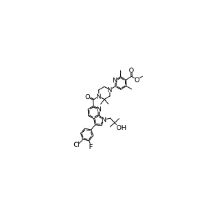 COC(=O)c1c(C)cc(N2CCN(C(=O)c3ccc4c(-c5ccc(Cl)c(F)c5)cn(CC(C)(C)O)c4n3)C(C)(C)C2)nc1C